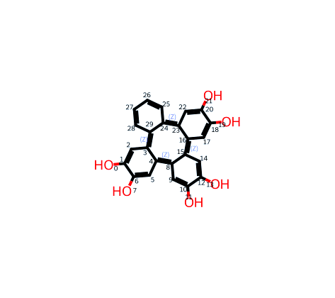 Oc1cc2/c(cc1O)=c1/cc(O)c(O)c/c1=c1\cc(O)c(O)c\c1=c1/cccc/c1=2